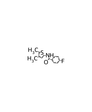 Cc1cc(NC(=O)c2ccc(F)cc2)sc1C